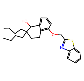 CCCCC1(CCCC)CCc2c(OCc3nc4ccccc4s3)cccc2C1O